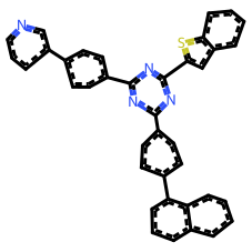 c1cncc(-c2ccc(-c3nc(-c4ccc(-c5cccc6ccccc56)cc4)nc(-c4cc5ccccc5s4)n3)cc2)c1